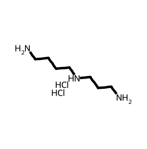 Cl.Cl.NCCCCNCCCN